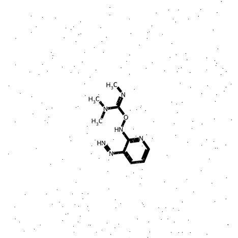 C/N=C(/ONc1ncccc1N=N)N(C)C